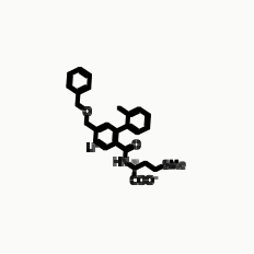 CSCC[C@H](NC(=O)c1ccc(COCc2ccccc2)cc1-c1ccccc1C)C(=O)[O-].[Li+]